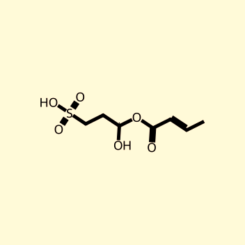 CC=CC(=O)O[C](O)CCS(=O)(=O)O